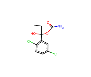 CCC(O)(OC(N)=O)c1cc(Cl)ccc1Cl